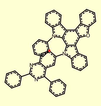 c1ccc(-c2nc(-c3ccccc3)c3cc(-n4c5ccccc5c5c6oc7ccccc7c6c6c7ccccc7n(-c7ccccc7)c6c54)ccc3n2)cc1